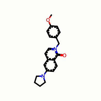 COc1ccc(Cn2ccc3cc(N4CCCC4)ccc3c2=O)cc1